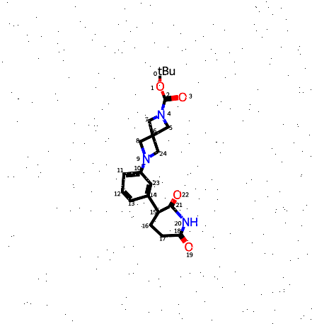 CC(C)(C)OC(=O)N1CC2(C1)CN(c1cccc(C3CCC(=O)NC3=O)c1)C2